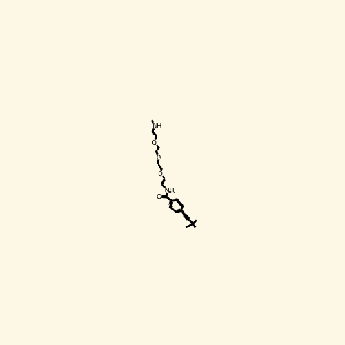 CNCCOCCOCCOCCNC(=O)c1ccc(C#CC(C)(C)C)cc1